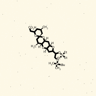 CC[Si](CC)(CC)OC(CO[Si](C)(C)C(C)(C)C)C1C[C@H]2O[C@@H]3[C@H](C[C@H]2O1)O[C@]1(C[C@H](C)CC(CC(=O)O)O1)C[C@@H]3C